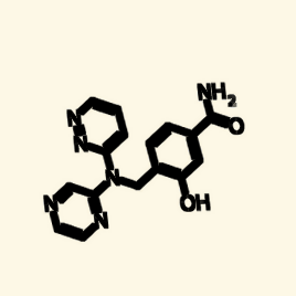 NC(=O)c1ccc(CN(c2cnccn2)c2cccnn2)c(O)c1